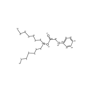 CCCCCCCN(CCCCCCC)OC(=O)COc1ccccc1